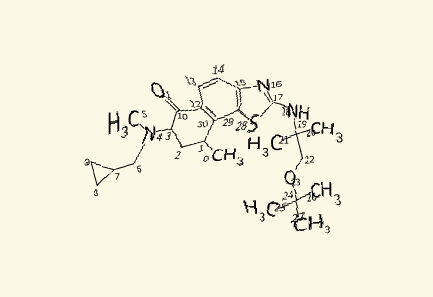 CC1CC(N(C)CC2CC2)C(=O)c2ccc3nc(NC(C)(C)COC(C)(C)C)sc3c21